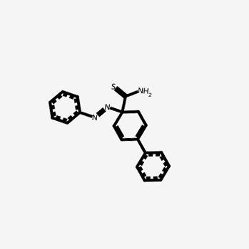 NC(=S)C1(N=Nc2ccccc2)C=CC(c2ccccc2)=CC1